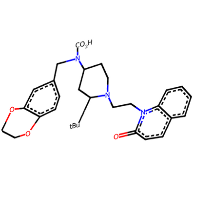 CC(C)(C)C1CC(N(Cc2ccc3c(c2)OCCO3)C(=O)O)CCN1CCn1c(=O)ccc2ccccc21